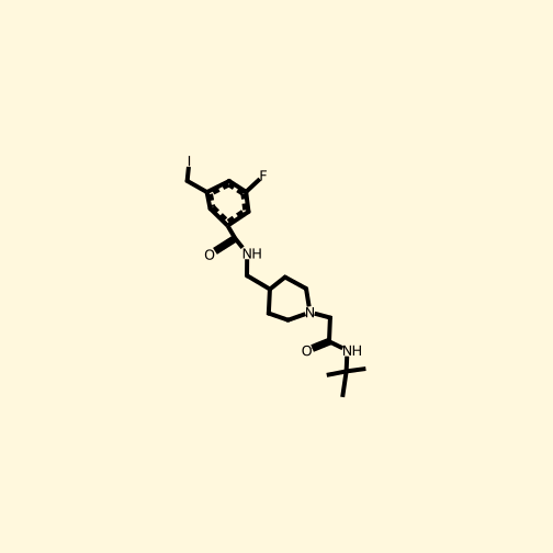 CC(C)(C)NC(=O)CN1CCC(CNC(=O)c2cc(F)cc(CI)c2)CC1